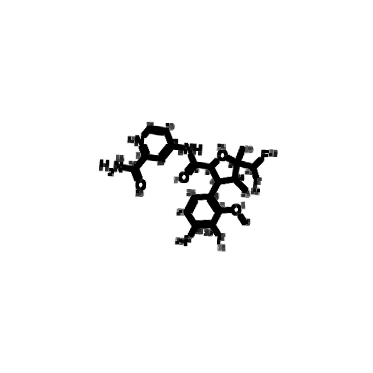 COc1c(C2C(C(=O)Nc3ccnc(C(N)=O)c3)OC(C)(C(F)F)C2C)ccc(F)c1F